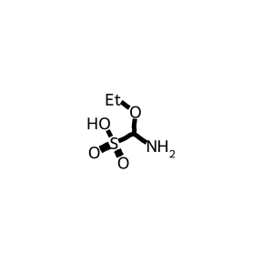 CCOC(N)S(=O)(=O)O